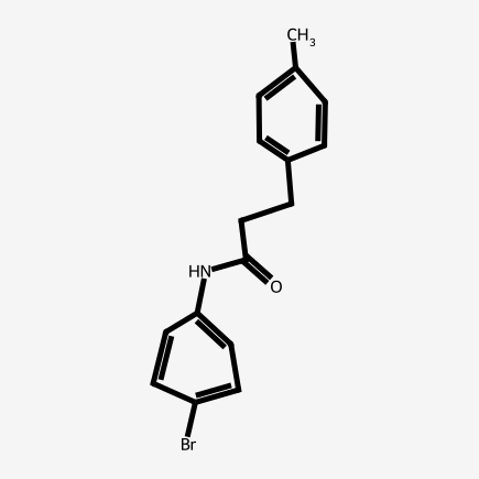 Cc1ccc(CCC(=O)Nc2ccc(Br)cc2)cc1